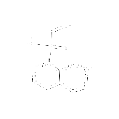 C=CP(=O)(O)c1cccc2ccccc12